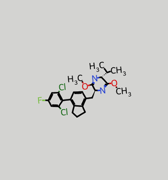 COC1=N[C@H](C(C)C)C(OC)=N[C@H]1Cc1ccc(-c2c(Cl)cc(F)cc2Cl)c2c1CCC2